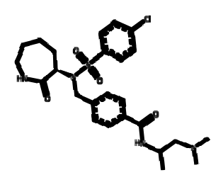 CC(CN(C)C)NC(=O)c1ccc(CN([C@@H]2CCCCNC2=O)S(=O)(=O)c2ccc(Cl)cc2)cc1